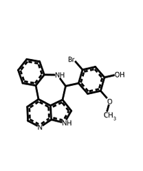 COc1cc(C2Nc3ccccc3-c3ccnc4[nH]cc2c34)c(Br)cc1O